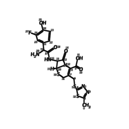 Cc1nnc(SCC2=C(C(=O)O)N3C(=O)C(NC(=O)C(N)c4ccc(O)c(F)c4)[C@H]3SC2)s1